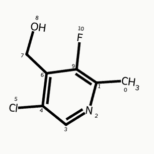 Cc1ncc(Cl)c(CO)c1F